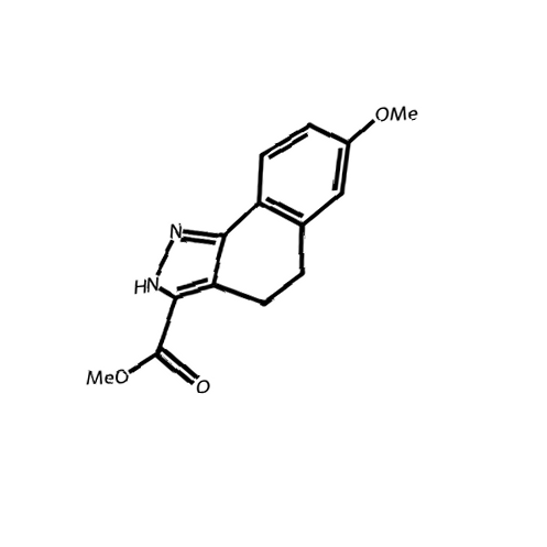 COC(=O)c1[nH]nc2c1CCc1cc(OC)ccc1-2